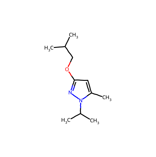 Cc1cc(OCC(C)C)nn1C(C)C